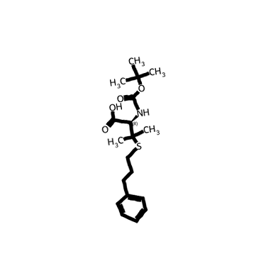 CC(C)(C)OC(=O)N[C@H](C(=O)O)C(C)(C)SCCCc1ccccc1